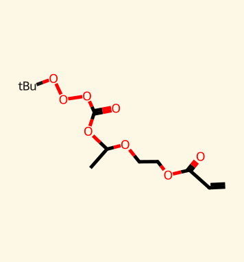 C=CC(=O)OCCOC(C)OC(=O)OOOC(C)(C)C